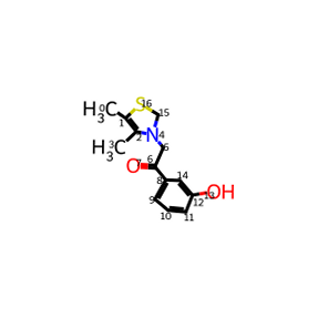 CC1=C(C)N(CC(=O)c2cccc(O)c2)CS1